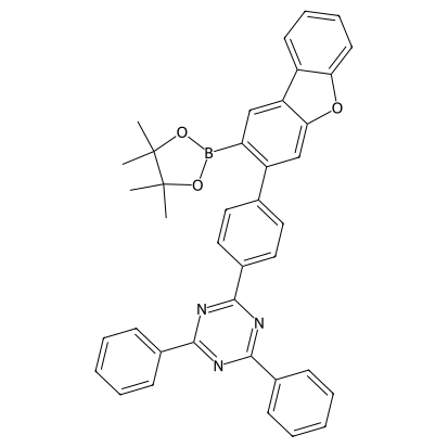 CC1(C)OB(c2cc3c(cc2-c2ccc(-c4nc(-c5ccccc5)nc(-c5ccccc5)n4)cc2)oc2ccccc23)OC1(C)C